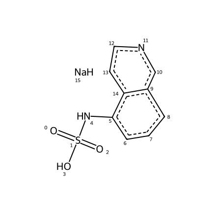 O=S(=O)(O)Nc1cccc2cnccc12.[NaH]